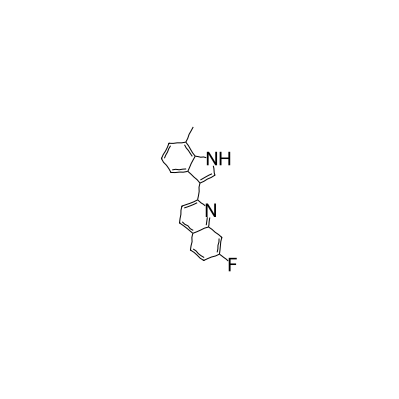 Cc1cccc2c(-c3ccc4ccc(F)cc4n3)c[nH]c12